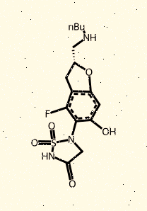 CCCCNC[C@H]1Cc2c(cc(O)c(N3CC(=O)NS3(=O)=O)c2F)O1